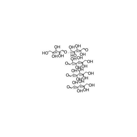 C[C@H](O)[C@H](O)[C@@H](O)[C@@H](O)C=O.O=C[C@@H](O)[C@@H](O)[C@H](O)[C@H](O)CO.O=C[C@@H](O)[C@H](O)[C@H](O)CO.O=C[C@H](O)[C@@H](O)[C@@H](O)[C@H](O)CO.O=C[C@H](O)[C@@H](O)[C@H](O)[C@H](O)CO